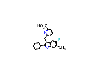 Cc1cc2[nH]c(-c3ccccc3)c(Cc3cccc(C(=O)O)n3)c2cc1F